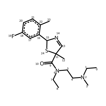 CCN(C)CCN(CC)C(=O)C1(C)C=NC(c2cc(F)ccc2C)S1